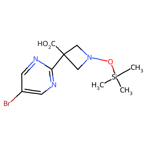 C[Si](C)(C)ON1CC(C(=O)O)(c2ncc(Br)cn2)C1